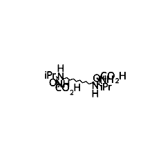 CC(C)C(NCCCCCCCCCCNC(C(=O)NC(=O)O)C(C)C)C(=O)NC(=O)O